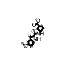 COC(=O)c1cccc(NC(=O)c2cc3cc(OC)ccc3[nH]2)c1